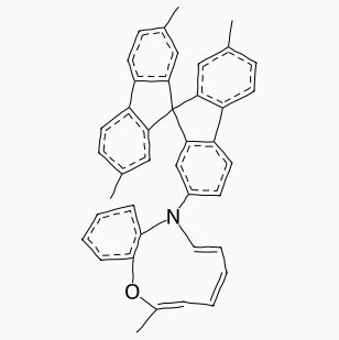 C\C1=C/C=C\C=C\N(c2ccc3c(c2)C2(c4cc(C)ccc4-c4ccc(C)cc42)c2cc(C)ccc2-3)c2ccccc2O1